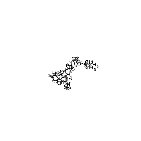 CC1(C(=O)OCC[Si](C)(C)C)CC(S(=O)(=O)N2CCC(C3=C(C(=O)O)C(c4ccc(F)cc4Cl)N=C(c4nccs4)N3)CC2)C1